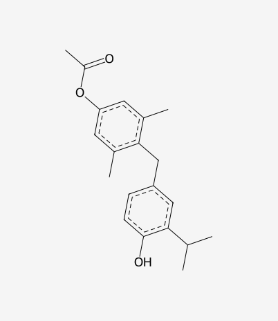 CC(=O)Oc1cc(C)c(Cc2ccc(O)c(C(C)C)c2)c(C)c1